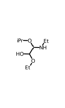 CCNI(OC(C)C)C(O)OCC